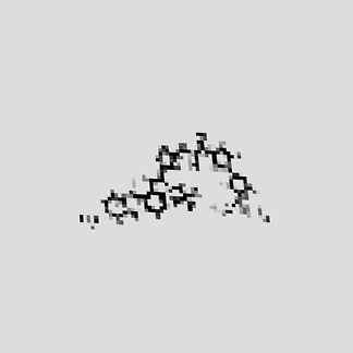 CN1CC[C@@H](Nc2cccc3c2cc(-c2noc(CNC(=O)c4ccn([C@@H]5CC[C@@H](N(C)C)C5)c4)n2)n3CC(F)(F)F)[C@@H](F)C1